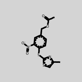 CC(=O)OCc1ccc(Sc2nc(C)cs2)c([N+](=O)[O-])c1